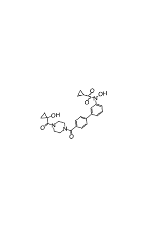 O=C(c1ccc(-c2cccc(N(O)S(=O)(=O)C3CC3)c2)cc1)N1CCN(C(=O)C2(O)CC2)CC1